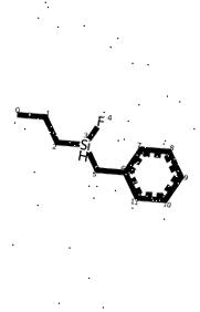 CCC[SiH](F)Cc1ccccc1